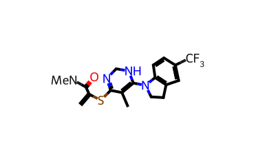 C=C(SC1=NCNC(N2CCc3cc(C(F)(F)F)ccc32)=C1C)C(=O)NC